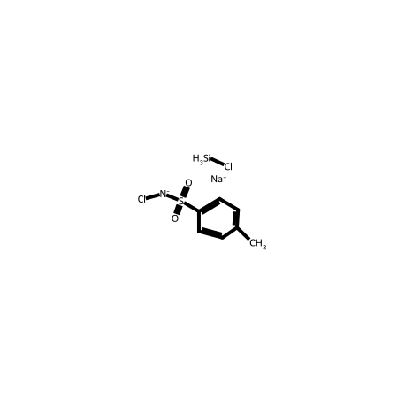 Cc1ccc(S(=O)(=O)[N-]Cl)cc1.[Na+].[SiH3]Cl